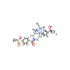 CC(C)S(=O)(=O)c1ccc(C(=O)N2CCC3(CC2)c2ccc(C(=O)C(F)(F)F)n2C[C@H](C)N3C)cc1